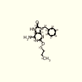 CCCSOc1nc(N)c2[nH]c(=O)n(Cc3ccccc3)c2n1